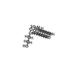 Cc1ccc(S(=O)(=O)O)cc1.Cc1ccc(S(=O)(=O)O)cc1.OCCO.OCCO.OCCO.OCCO.OCCO.OCCO.OCCO.OCCO.OCCO.OCCO.OCCO